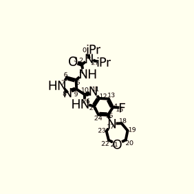 CC(C)N(C(=O)Nc1c[nH]nc1-c1nc2cc(F)c(N3CCCOCC3)cc2[nH]1)C(C)C